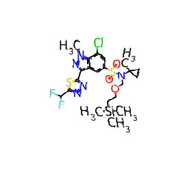 Cn1nc(-c2nnc(C(F)F)s2)c2cc(S(=O)(=O)N(COCC[Si](C)(C)C)C3(C)CC3)cc(Cl)c21